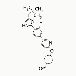 CC(C)(C)Cc1c[nH]c(-c2ccc(-c3ccc(O[C@H]4CC[C@@H](C=O)CC4)nc3)cc2F)n1